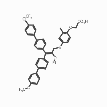 CCOC(CSc1ccc(OCC(=O)O)c(C)c1)=C(c1ccc(-c2ccc(OC(F)(F)F)cc2)cc1)c1ccc(-c2ccc(OC(F)(F)F)cc2)cc1